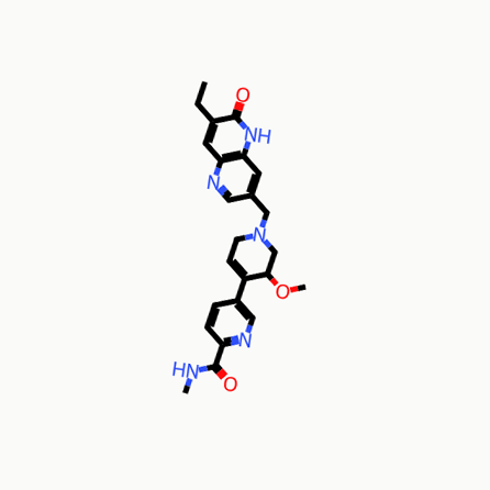 CCc1cc2ncc(CN3CC=C(c4ccc(C(=O)NC)nc4)C(OC)C3)cc2[nH]c1=O